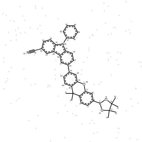 CC1(C)c2ccc(B3OC(C)(C)C(C)(C)O3)cc2Oc2cc(-c3ccc4c(c3)c3cc(C#N)ccc3n4-c3ccccc3)ccc21